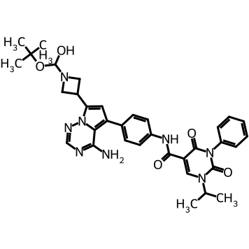 CC(C)n1cc(C(=O)Nc2ccc(-c3cc(C4CN(C(O)OC(C)(C)C)C4)n4ncnc(N)c34)cc2)c(=O)n(-c2ccccc2)c1=O